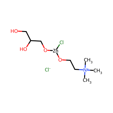 C[N+](C)(C)CC[O][Zn]([Cl])[O]CC(O)CO.[Cl-]